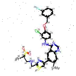 COc1cc2ncnc(Nc3ccc(OCc4cccc(F)c4)c(Cl)c3)c2cc1-c1csc(CNCC(C(C)C)=S(=O)=O)n1